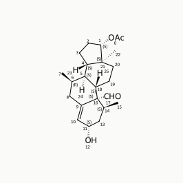 CC(=O)O[C@H]1CC[C@H]2[C@@H]3[C@H](C)CC4=C[C@@H](O)C[C@H](C)[C@]4(C=O)[C@H]3CC[C@]12C